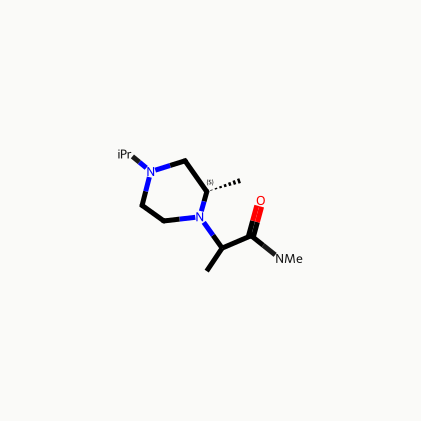 CNC(=O)C(C)N1CCN(C(C)C)C[C@@H]1C